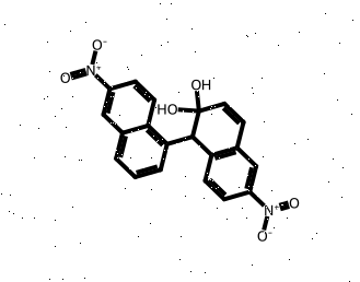 O=[N+]([O-])c1ccc2c(c1)C=CC(O)(O)C2c1cccc2cc([N+](=O)[O-])ccc12